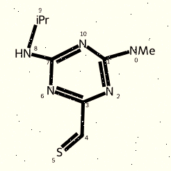 CNc1nc(C=S)nc(NC(C)C)n1